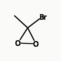 CC1(Br)OO1